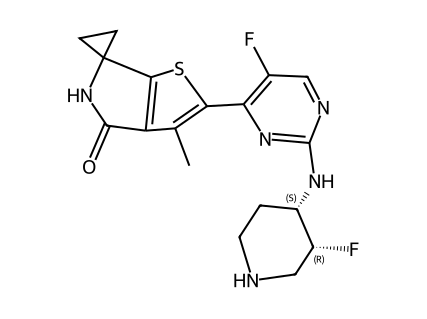 Cc1c(-c2nc(N[C@H]3CCNC[C@H]3F)ncc2F)sc2c1C(=O)NC21CC1